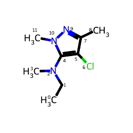 CCN(C)c1c(Cl)c(C)nn1C